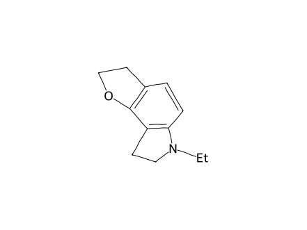 CCN1CCc2c1ccc1c2OCC1